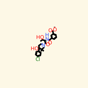 COC(=O)c1cccc(C(=O)N[C@@H](C(=O)N2CC[C@](O)(c3ccc(Cl)cc3)C(C)(C)C2)C(C)O)c1